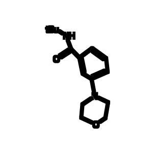 CC(C)(C)NC(=O)c1cccc(N2CCOCC2)c1